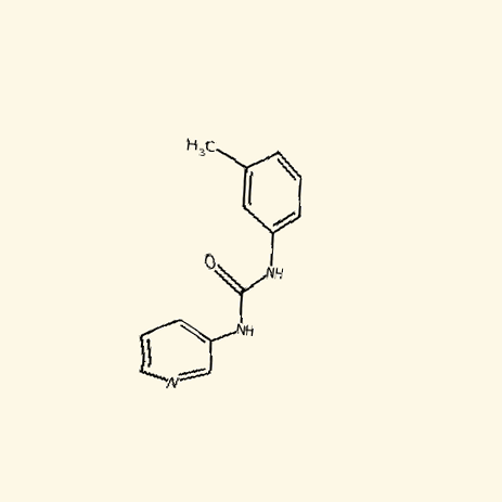 Cc1cccc(NC(=O)Nc2cccnc2)c1